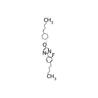 CCCCCc1ccc(-c2ncc(OC[C@H]3CC[C@H](CCCCC)CC3)cn2)c(F)c1